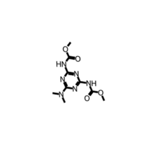 COC(=O)Nc1nc(NC(=O)OC)nc(N(C)C)n1